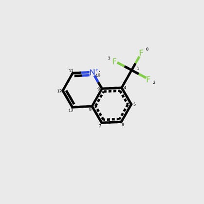 FC(F)(F)c1cccc2c1[N+]=CC=C2